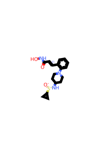 O=C(/C=C/c1ccccc1N1CCC(N[S+]([O-])C2CC2)CC1)NO